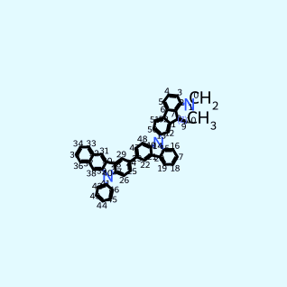 C=Nc1cccc2c1/C(=C\C)c1cc(-n3c4ccccc4c4cc(-c5ccc6c(c5)c5cc7ccccc7cc5n6-c5ccccc5)ccc43)ccc1-2